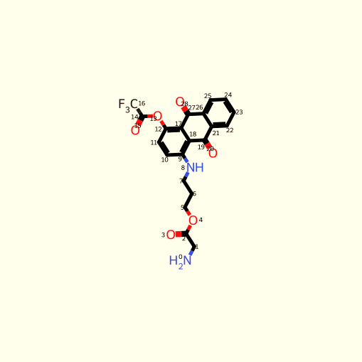 NCC(=O)OCCCNc1ccc(OC(=O)C(F)(F)F)c2c1C(=O)c1ccccc1C2=O